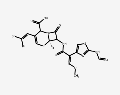 CO/N=C(/C(=O)NC1C(=O)N2C(C(=O)O)C(C=C(Br)Br)=CS[C@H]12)c1csc(NC=O)n1